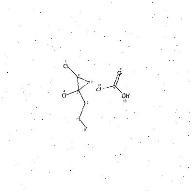 CCCC1(Cl)CC1Cl.O=C(O)Cl